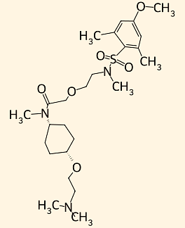 COc1cc(C)c(S(=O)(=O)N(C)CCOCC(=O)N(C)[C@H]2CC[C@@H](OCCN(C)C)CC2)c(C)c1